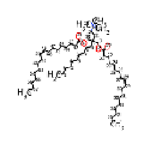 C=CCCCCCCCCC(CC[N+](C)(C)C)(COC(=O)CCCCCCC/C=C\CCCCCCCC)COC(=O)CCCCCCC/C=C\CCCCCCCC